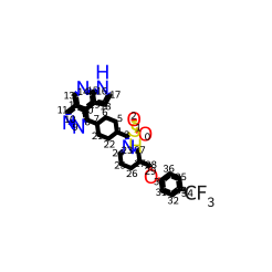 O=[SH](=O)C(C1CCC(c2nncc3cnc4[nH]ccc4c23)CC1)N1CCCC(COc2ccc(C(F)(F)F)cc2)C1